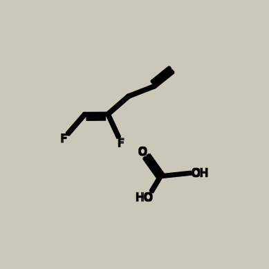 C=CCC(F)=CF.O=C(O)O